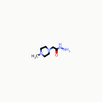 CN1CCN(CC(=O)NN)CC1